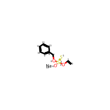 C=COS(=O)(=S)OCc1ccccc1.[Na]